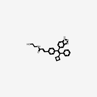 O=C(C=Cc1ccc(C(=C(c2ccccc2)C2CCC2)c2ccc3[nH]nnc3c2)cc1)NCCO